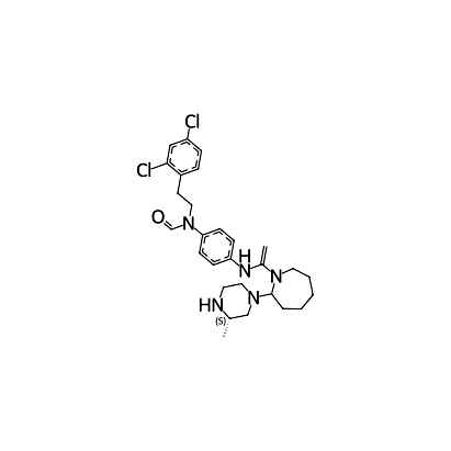 C=C(Nc1ccc(N(C=O)CCc2ccc(Cl)cc2Cl)cc1)N1CCCCCC1N1CCN[C@@H](C)C1